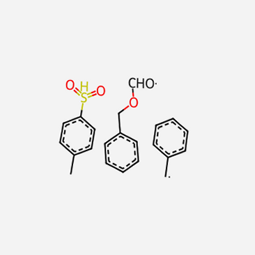 Cc1ccc([SH](=O)=O)cc1.O=[C]OCc1ccccc1.[CH2]c1ccccc1